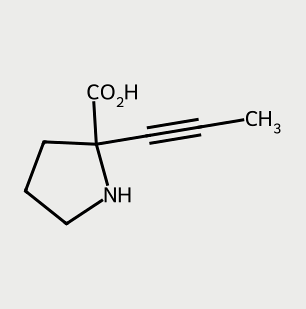 CC#CC1(C(=O)O)CCCN1